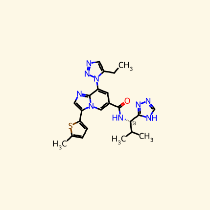 CCc1cnnn1-c1cc(C(=O)N[C@H](c2nnc[nH]2)C(C)C)cn2c(-c3ccc(C)s3)cnc12